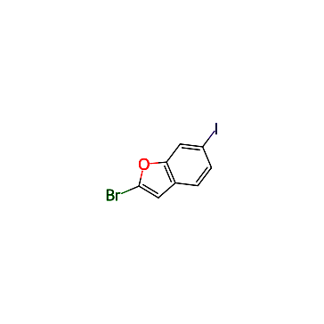 Brc1cc2ccc(I)cc2o1